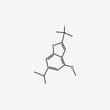 COc1cc(C(C)C)cc2sc(C(C)(C)C)cc12